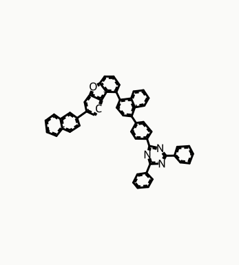 c1ccc(-c2nc(-c3ccccc3)nc(-c3ccc(-c4ccc(-c5cccc6oc7cc(-c8ccc9ccccc9c8)ccc7c56)c5ccccc45)cc3)n2)cc1